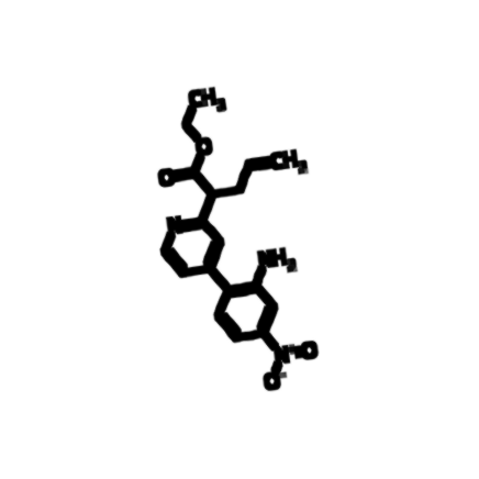 C=CCC(C(=O)OCC)c1cc(-c2ccc([N+](=O)[O-])cc2N)ccn1